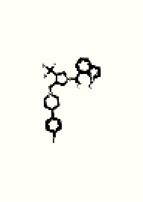 Cn1ccc2cccc(C(=O)N3CC(CN4CCC(c5ccc(F)cc5)CC4)C(C(F)(F)F)C3)c21